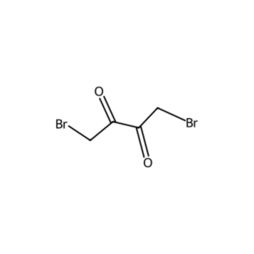 O=C(CBr)C(=O)CBr